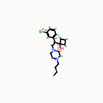 CCCCN1CCN(CC(c2cccc(Br)c2)C2(O)CCC2)CC1